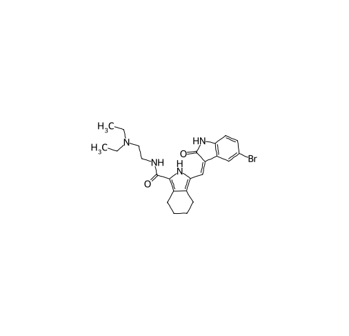 CCN(CC)CCNC(=O)c1[nH]c(/C=C2\C(=O)Nc3ccc(Br)cc32)c2c1CCCC2